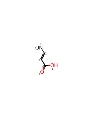 O=NC=CC(=O)O